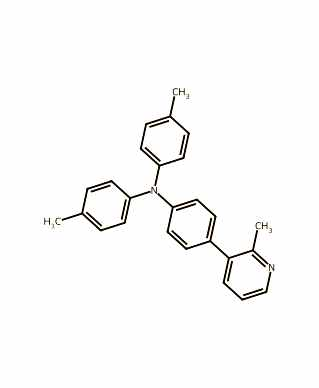 Cc1ccc(N(c2ccc(C)cc2)c2ccc(-c3cccnc3C)cc2)cc1